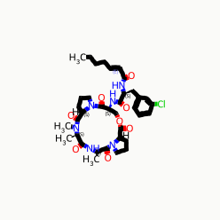 CCCC/C=C/C(=O)N[C@@H](Cc1cccc(Cl)c1)C(=O)N[C@H]1COC(=O)[C@@H]2CCCN2C(=O)[C@H](C)NC(=O)[C@H](C)N(C)C(=O)[C@@H]2CCCN2C1=O